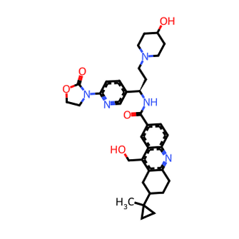 CC1(C2CCc3nc4ccc(C(=O)N[C@H](CCN5CCC(O)CC5)c5ccc(N6CCOC6=O)nc5)cc4c(CO)c3C2)CC1